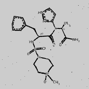 C[C@@H](C(N)=O)N(C(=O)[C@H](Cc1ccccc1)NS(=O)(=O)N1CC[N+](C)([O-])CC1)c1cc[nH]n1